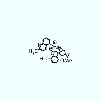 COc1ccc(C)cc1[C@@]1(C(=O)NS(=O)(=O)c2cccc3nc(C)ccc23)CC2(CC2)CO1